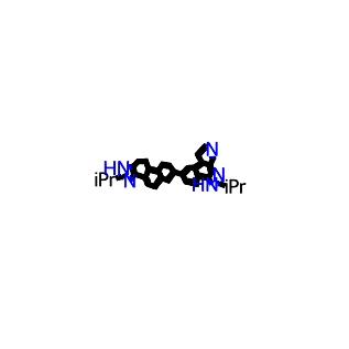 CC(C)c1nc2c([nH]1)CCc1c-2ccc2cc(-c3ccc4c(c3)c3ccncc3c3nc(C(C)C)[nH]c43)ccc12